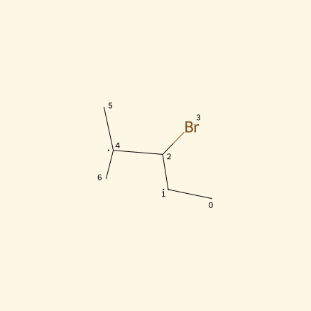 C[CH]C(Br)[C](C)C